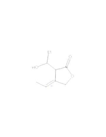 C/C=C1/COC(=O)C1C(O)CC